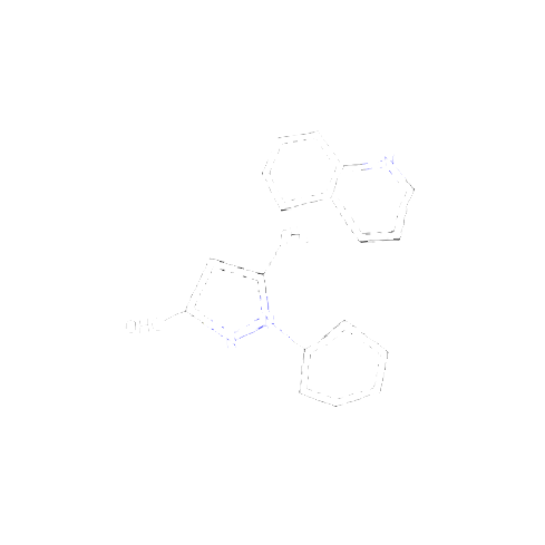 Cc1cc(C=O)nn1-c1ccccc1.c1ccc2ncccc2c1